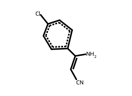 N#CC=C(N)c1ccc(Cl)cc1